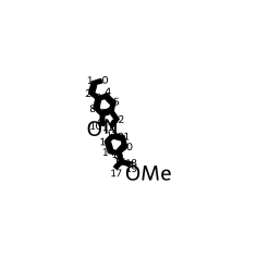 C/C=C\c1ccc2c(c1)C(=O)N(c1ccc(C(C)COC)cc1)C2